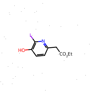 CCOC(=O)Cc1ccc(O)c(I)n1